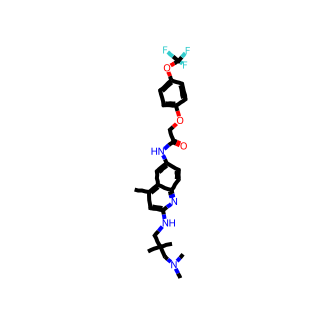 Cc1cc(NCC(C)(C)CN(C)C)nc2ccc(NC(=O)COc3ccc(OC(F)(F)F)cc3)cc12